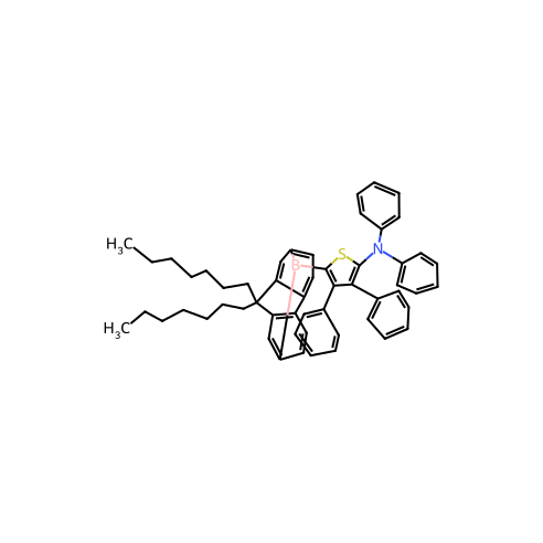 CCCCCCCC1(CCCCCCC)c2cc3ccc2-c2ccc(cc21)B3c1sc(N(c2ccccc2)c2ccccc2)c(-c2ccccc2)c1-c1ccccc1